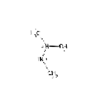 CNN(C)O